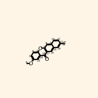 COc1ccc2oc3cc4ccc(F)cc4cc3c(=O)c2c1